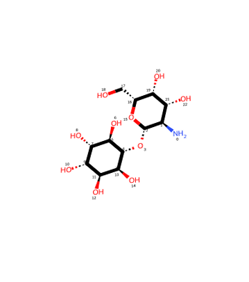 N[C@H]1[C@H](O[C@H]2[C@H](O)[C@@H](O)[C@@H](O)[C@H](O)[C@@H]2O)O[C@H](CO)[C@H](O)[C@@H]1O